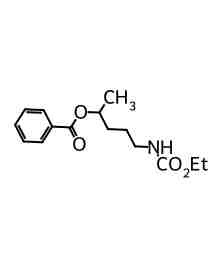 CCOC(=O)NCCCC(C)OC(=O)c1ccccc1